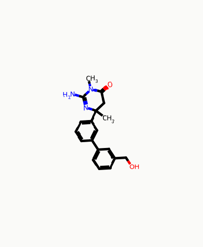 CN1C(=O)CC(C)(c2cccc(-c3cccc(CO)c3)c2)N=C1N